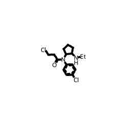 CCNC1CCCC1N(C(=O)CCCl)c1ccc(Cl)cc1